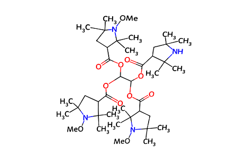 CON1C(C)(C)CC(C(=O)OC(OC(=O)C2CC(C)(C)NC2(C)C)C(OC(=O)C2CC(C)(C)N(OC)C2(C)C)OC(=O)C2CC(C)(C)N(OC)C2(C)C)C1(C)C